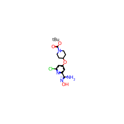 CC(C)(C)OC(=O)N1CCC(Oc2cc(Cl)nc(/C(N)=N/O)c2)CC1